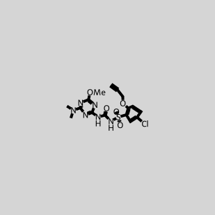 C#CCOc1ccc(Cl)cc1S(=O)(=O)NC(=O)Nc1nc(OC)nc(N(C)C)n1